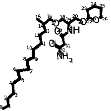 CCCCCCCCCCCCCCC(C)COCC(COC1CCCCO1)NC(=O)CC(N)=O